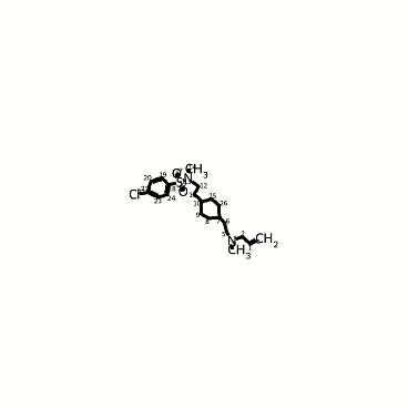 C=CCN(C)CCC1CCC(CCN(C)S(=O)(=O)c2ccc(Cl)cc2)CC1